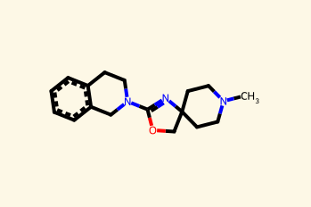 CN1CCC2(CC1)COC(N1CCc3ccccc3C1)=N2